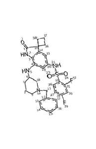 O=C1Nc2c(NC3CCCN(Cc4ccccc4)C3)cc(NS(=O)(=O)c3ccc(F)cc3F)cc2C12CCC2